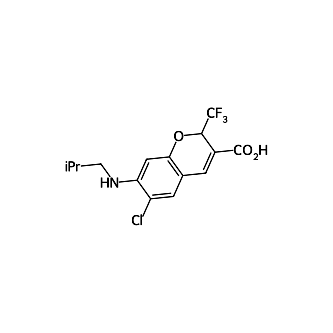 CC(C)CNc1cc2c(cc1Cl)C=C(C(=O)O)C(C(F)(F)F)O2